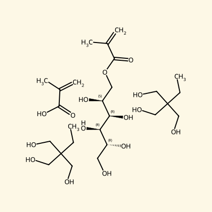 C=C(C)C(=O)O.C=C(C)C(=O)OC[C@H](O)[C@@H](O)[C@H](O)[C@H](O)CO.CCC(CO)(CO)CO.CCC(CO)(CO)CO